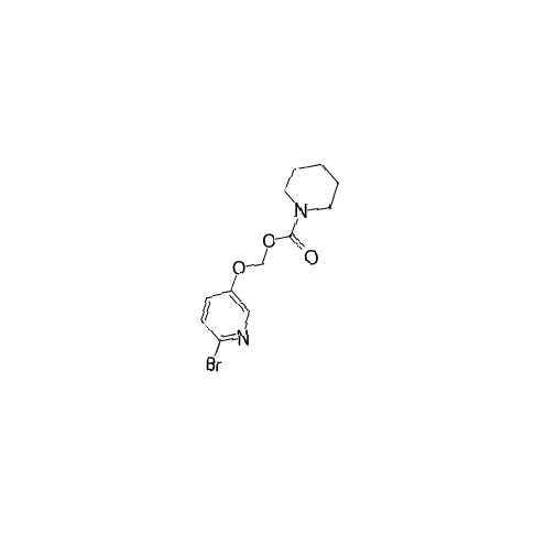 O=C(OCOc1ccc(Br)nc1)N1CCCCC1